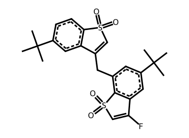 CC(C)(C)c1ccc2c(c1)C(Cc1cc(C(C)(C)C)cc3c1S(=O)(=O)C=C3F)=CS2(=O)=O